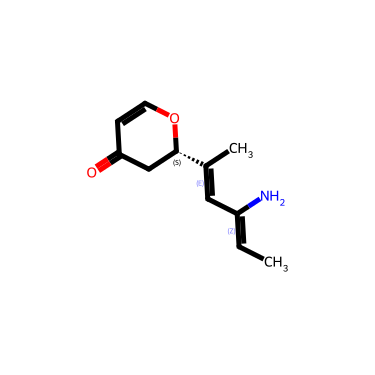 C/C=C(N)/C=C(\C)[C@@H]1CC(=O)C=CO1